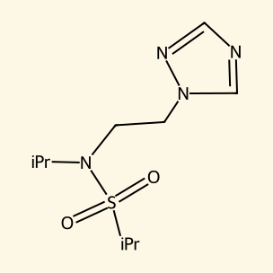 CC(C)N(CCn1cncn1)S(=O)(=O)C(C)C